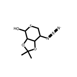 CC1(C)OC2C(N=[N+]=[N-])CSC(O)C2O1